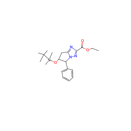 CCOC(=O)c1nc2n(n1)C(c1ccccc1)C(O[Si](C)(C)C(C)(C)C)C2